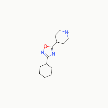 C1CCC(c2noc(C3CC[N]CC3)n2)CC1